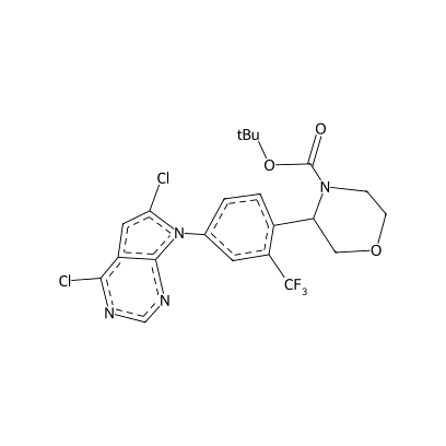 CC(C)(C)OC(=O)N1CCOCC1c1ccc(-n2c(Cl)cc3c(Cl)ncnc32)cc1C(F)(F)F